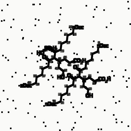 CCCCCCCCCCCCCCCC(=O)C(C(=O)CCCCCCCCCCCCCCC)N(CCO)CCC(=O)O.CCCCCCCCCCCCCCCC(=O)C(C(=O)CCCCCCCCCCCCCCC)N(CCO)CCC(=O)O.O=S(=O)(O)O